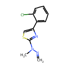 C=NN(C)c1nc(-c2ccccc2Cl)cs1